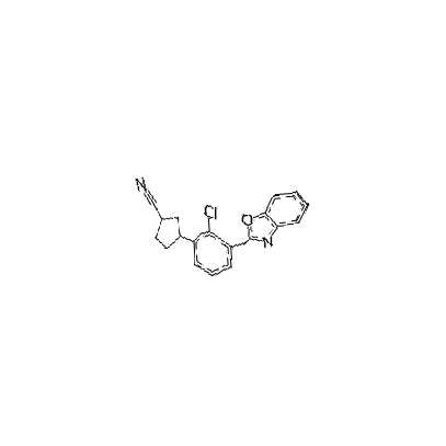 N#CC1CCC(c2cccc(-c3nc4ccccc4o3)c2Cl)C1